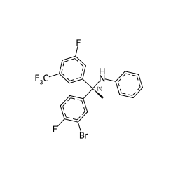 C[C@](Nc1ccccc1)(c1cc(F)cc(C(F)(F)F)c1)c1ccc(F)c(Br)c1